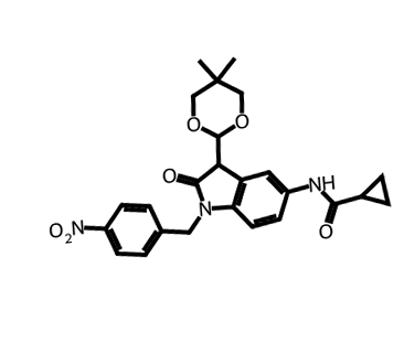 CC1(C)COC(C2C(=O)N(Cc3ccc([N+](=O)[O-])cc3)c3ccc(NC(=O)C4CC4)cc32)OC1